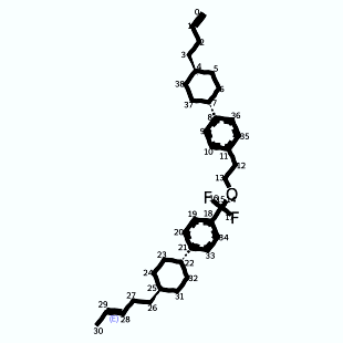 C=CCC[C@H]1CC[C@H](c2ccc(CCOC(F)(F)c3ccc([C@H]4CC[C@H](CC/C=C/C)CC4)cc3)cc2)CC1